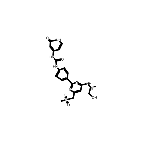 C[C@@H](CO)Nc1cc(CS(C)(=O)=O)nc(-c2ccc(NC(=O)Nc3cc[nH]c(=O)c3)cc2)n1